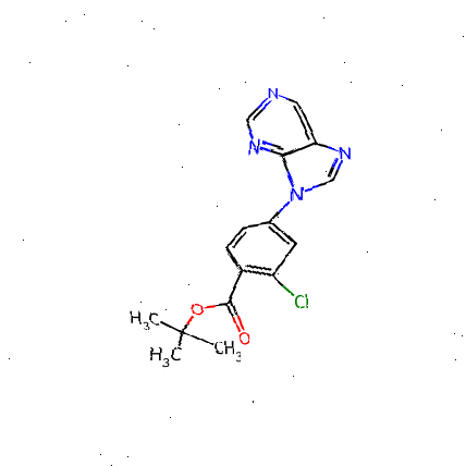 CC(C)(C)OC(=O)c1ccc(-n2cnc3cncnc32)cc1Cl